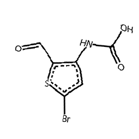 O=Cc1sc(Br)cc1NC(=O)O